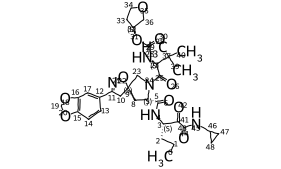 CCC[C@H](NC(=O)[C@@H]1C[C@]2(CC(c3ccc4c(c3)OCO4)=NO2)CN1C(=O)[C@@H](NC(=O)O[C@H]1CCOC1)C(C)(C)C)C(=O)C(=O)NC1CC1